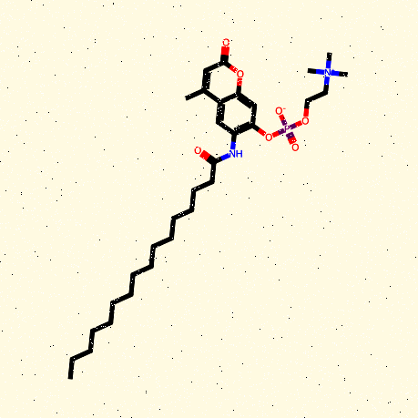 CCCCCCCCCCCCCCCC(=O)Nc1cc2c(C)cc(=O)oc2cc1OP(=O)([O-])OCC[N+](C)(C)C